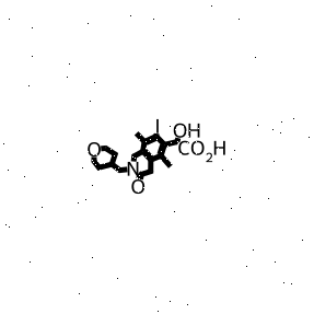 Cc1c(I)c(C(O)C(=O)O)c(C)c2c1CN(CC1CCOCC1)C(=O)C2